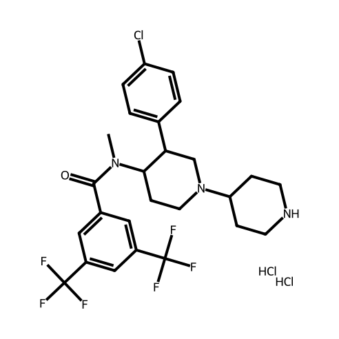 CN(C(=O)c1cc(C(F)(F)F)cc(C(F)(F)F)c1)C1CCN(C2CCNCC2)CC1c1ccc(Cl)cc1.Cl.Cl